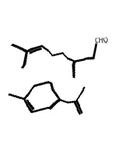 C=C(C)C1CC=C(C)CC1.CC(C)=CCCC(C)CC=O